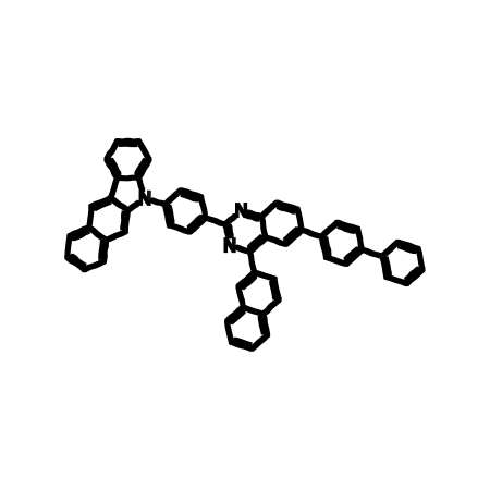 c1ccc(-c2ccc(-c3ccc4nc(-c5ccc(-n6c7ccccc7c7cc8ccccc8cc76)cc5)nc(-c5ccc6ccccc6c5)c4c3)cc2)cc1